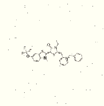 CCn1c(=O)/c(=C2\Sc3cc(OC(F)(F)F)ccc3N2C)s/c1=C\c1cccc[n+]1Cc1ccccc1